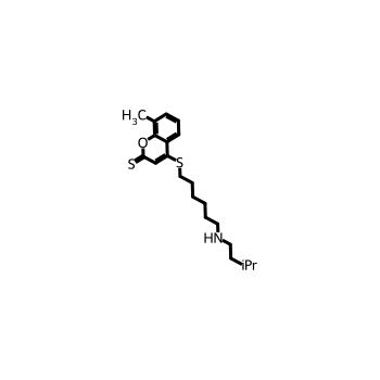 Cc1cccc2c(SCCCCCCNCCC(C)C)cc(=S)oc12